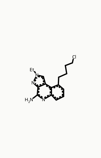 CCn1cc2c(n1)c(N)nc1cccc(CCCCCl)c12